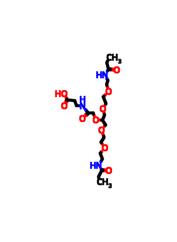 CCC(=O)NCCOCCOCC(COCCOCCNC(=O)CC)OCC(=O)NCCC(=O)O